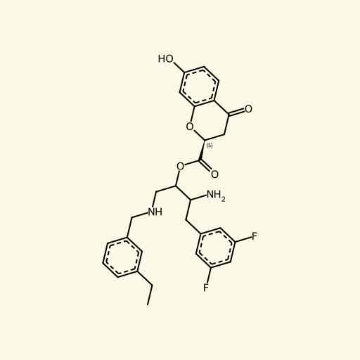 CCc1cccc(CNCC(OC(=O)[C@@H]2CC(=O)c3ccc(O)cc3O2)C(N)Cc2cc(F)cc(F)c2)c1